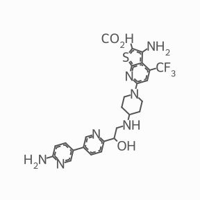 Nc1ccc(-c2ccc(C(O)CNC3CCN(c4cc(C(F)(F)F)c5c(N)c(C(=O)O)sc5n4)CC3)nc2)cn1